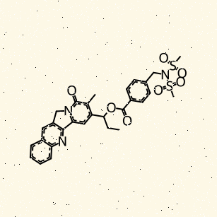 CCC(OC(=O)c1ccc(CN(S(C)(=O)=O)S(C)(=O)=O)cc1)c1cc2n(c(=O)c1C)Cc1cc3ccccc3nc1-2